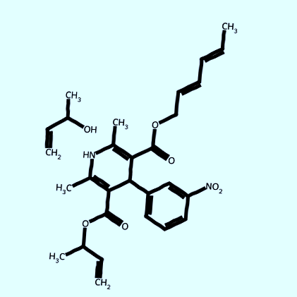 C=CC(C)O.C=CC(C)OC(=O)C1=C(C)NC(C)=C(C(=O)OC/C=C/C=C/C)C1c1cccc([N+](=O)[O-])c1